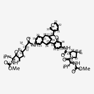 COC(=O)N[C@H](C(=O)C(C)CC(F)C[C@H](C)C(=O)Nc1ccc2c(c1)C=C1C=C(C2)C(c2ccccc2)Oc2cc(NC(=O)[C@@H]3C[C@@H](F)CN3C(=O)[C@@H](NC(=O)OC)C(C)C)ccc21)C(C)C